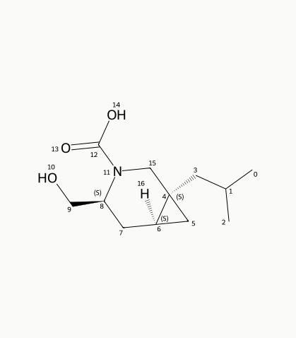 CC(C)C[C@]12C[C@H]1C[C@@H](CO)N(C(=O)O)C2